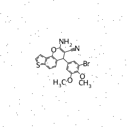 COc1cc(C2C(C#N)=C(N)Oc3c2ccc2sccc32)cc(Br)c1OC